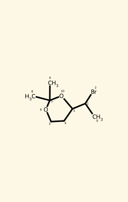 CC(Br)C1CCOC(C)(C)O1